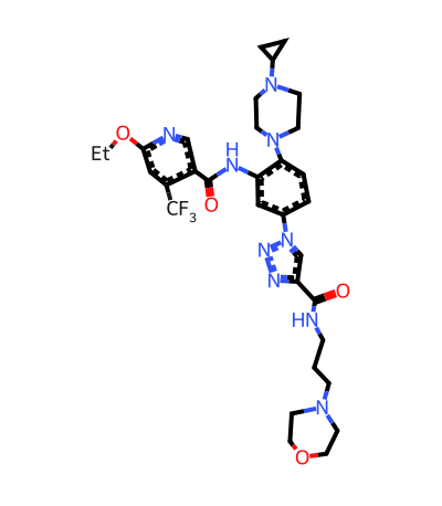 CCOc1cc(C(F)(F)F)c(C(=O)Nc2cc(-n3cc(C(=O)NCCCN4CCOCC4)nn3)ccc2N2CCN(C3CC3)CC2)cn1